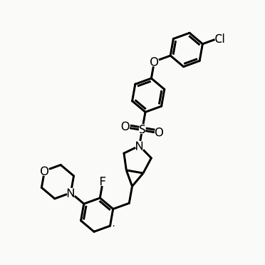 O=S(=O)(c1ccc(Oc2ccc(Cl)cc2)cc1)N1CC2C(CC3=C(F)C(N4CCOCC4)=CC[CH]3)C2C1